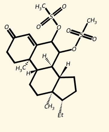 CC[C@H]1CC[C@H]2[C@@H]3C(OS(C)(=O)=O)C(OS(C)(=O)=O)C4=CC(=O)CC[C@]4(C)[C@H]3CC[C@]12C